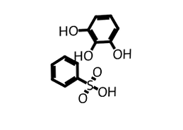 O=S(=O)(O)c1ccccc1.Oc1cccc(O)c1O